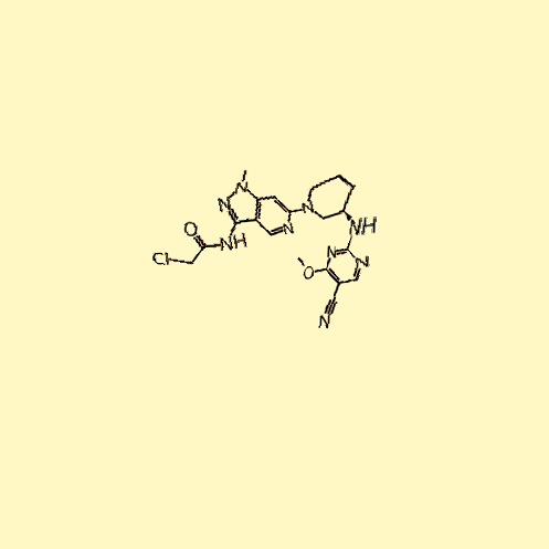 COc1nc(N[C@@H]2CCCN(c3cc4c(cn3)c(NC(=O)CCl)nn4C)C2)ncc1C#N